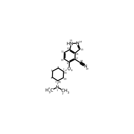 CN(C)[C@@H]1CCC[C@H](Oc2ccc3[nH]ncc3c2C#N)C1